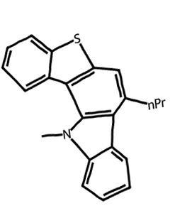 CCCc1cc2sc3ccccc3c2c2c1c1ccccc1n2C